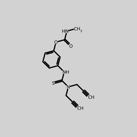 C#CCN(CC#C)C(=S)Nc1cccc(OC(=O)NC)c1